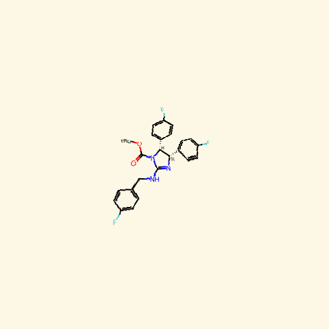 CC(C)(C)OC(=O)N1C(NCc2ccc(F)cc2)=N[C@@H](c2ccc(F)cc2)[C@H]1c1ccc(F)cc1